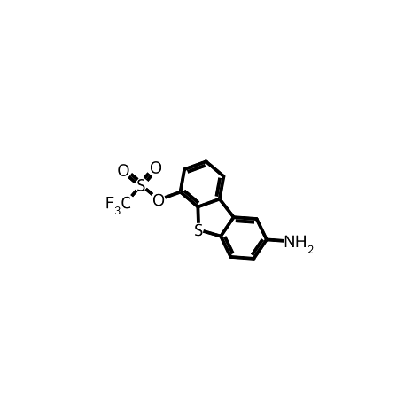 Nc1ccc2sc3c(OS(=O)(=O)C(F)(F)F)cccc3c2c1